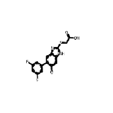 O=C(O)CSc1nc2cc(-c3cc(F)cc(F)c3)c(Cl)cc2[nH]1